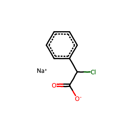 O=C([O-])C(Cl)c1ccccc1.[Na+]